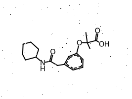 CC(C)(Oc1cccc(CC(=O)NC2CCCCC2)c1)C(=O)O